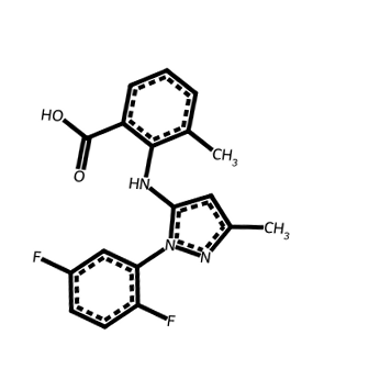 Cc1cc(Nc2c(C)cccc2C(=O)O)n(-c2cc(F)ccc2F)n1